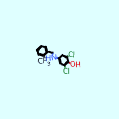 Oc1c(Cl)cc(NCc2ccccc2C(F)(F)F)cc1Cl